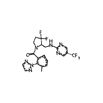 Cc1cccc(C(=O)N2CCC(F)(F)C2CNc2ncc(C(F)(F)F)cn2)c1-n1nccn1